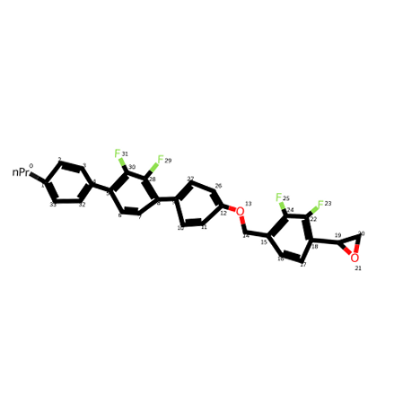 CCCc1ccc(-c2ccc(-c3ccc(OCc4ccc(C5CO5)c(F)c4F)cc3)c(F)c2F)cc1